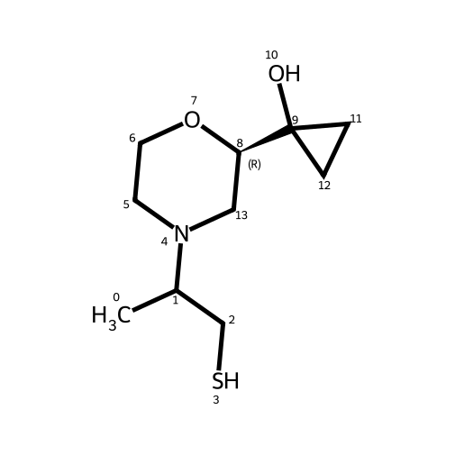 CC(CS)N1CCO[C@@H](C2(O)CC2)C1